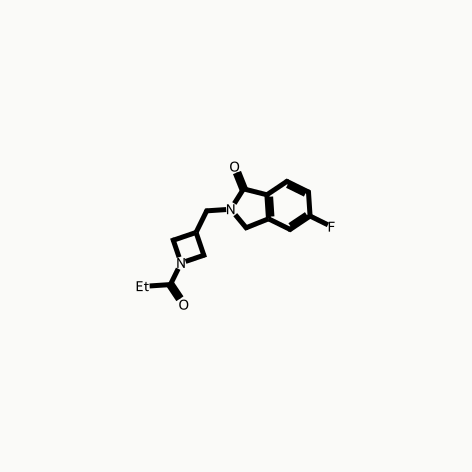 CCC(=O)N1CC(CN2Cc3cc(F)ccc3C2=O)C1